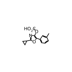 Cc1cccc(-c2oc(C3CC3)nc2OC(=O)O)c1